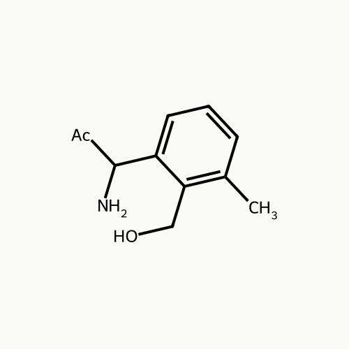 CC(=O)C(N)c1cccc(C)c1CO